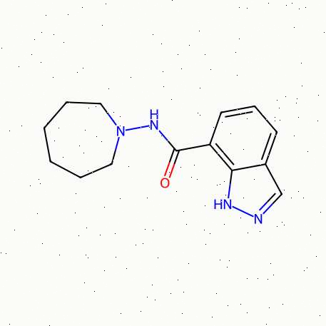 O=C(NN1CCCCCC1)c1cccc2cn[nH]c12